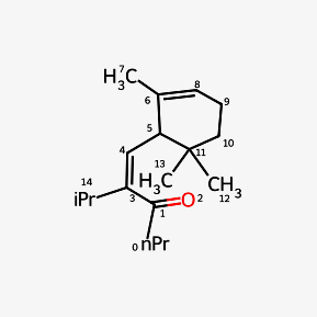 CCCC(=O)C(=CC1C(C)=CCCC1(C)C)C(C)C